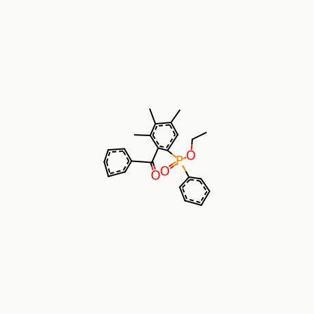 CCOP(=O)(c1ccccc1)c1cc(C)c(C)c(C)c1C(=O)c1ccccc1